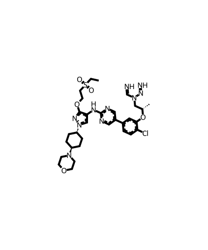 CCS(=O)(=O)CCOc1nn([C@H]2CC[C@H](N3CCOCC3)CC2)cc1Nc1ncc(-c2ccc(Cl)c(O[C@@H](C)CN(C=N)N=N)c2)cn1